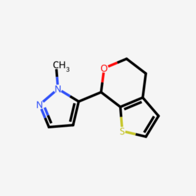 Cn1nccc1C1OCCc2ccsc21